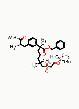 COC(=O)[C@H](C)Cc1cccc([C@@](C)(CCCC(C)(C)CS(=O)(=O)CCO[Si](C)(C)C(C)(C)C)C(=O)OCc2ccccc2)c1